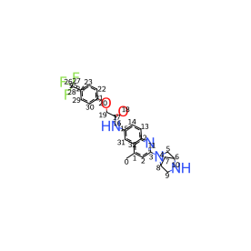 Cc1cc(N2CC3CC2CN3)nc2ccc(NC(=O)COc3ccc(C(F)(F)F)cc3)cc12